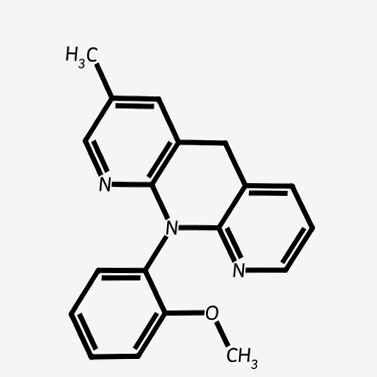 COc1ccccc1N1c2ncccc2Cc2cc(C)cnc21